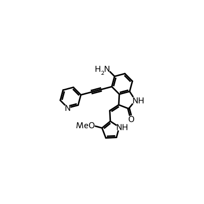 COc1cc[nH]c1C=C1C(=O)Nc2ccc(N)c(C#Cc3cccnc3)c21